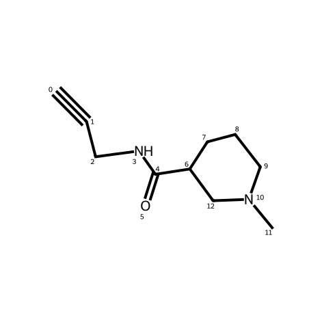 C#CCNC(=O)C1CCCN(C)C1